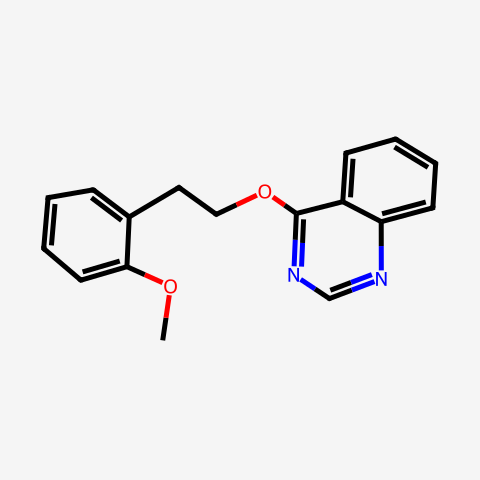 COc1ccccc1CCOc1ncnc2ccccc12